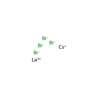 [Br-].[Br-].[Br-].[Br-].[Cs+].[La+3]